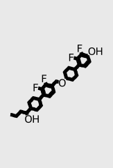 CCCC(O)C1CCC(c2ccc(COC3CCC(c4ccc(O)c(F)c4F)CC3)c(F)c2F)CC1